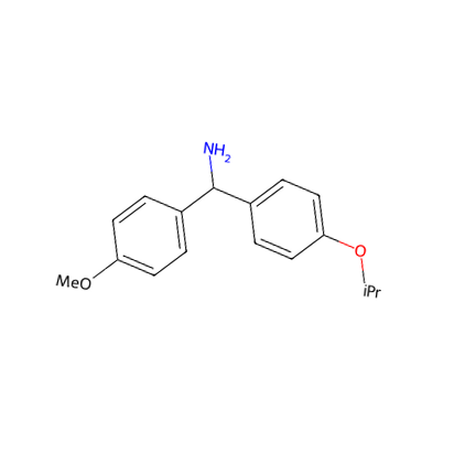 COc1ccc(C(N)c2ccc(OC(C)C)cc2)cc1